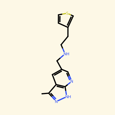 Cc1n[nH]c2ncc(CNCCc3ccsc3)cc12